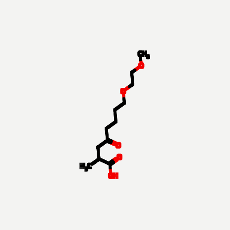 COCCOCCCCC(=O)CC(C)C(=O)O